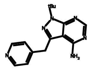 CC(C)(C)n1nc(Cc2ccncc2)c2c(N)ncnc21